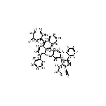 C#Cc1nc(-c2ccccc2)n(-c2ccc(-c3c4ccccc4c(C4=CC(C)C=CC=C4)c4ccc(-c5ccccc5)cc34)cc2)c1/C=C\C